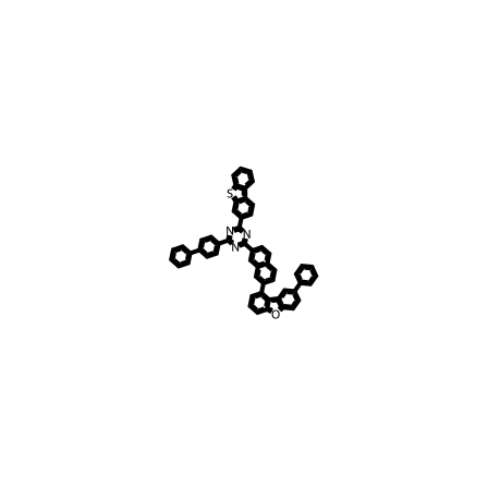 c1ccc(-c2ccc(-c3nc(-c4ccc5ccc(-c6cccc7oc8ccc(-c9ccccc9)cc8c67)cc5c4)nc(-c4ccc5c(c4)sc4ccccc45)n3)cc2)cc1